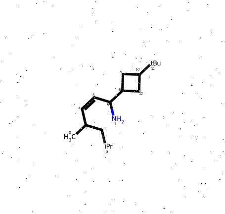 CC(C)CC(C)/C=C\C(N)C1CC(C(C)(C)C)C1